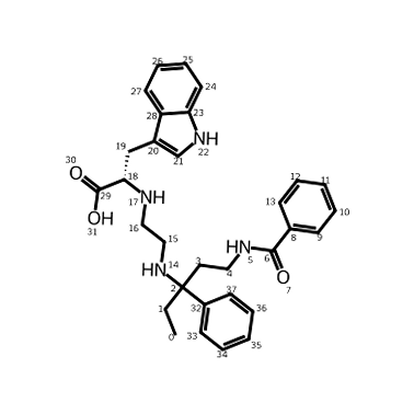 CCC(CCNC(=O)c1ccccc1)(NCCN[C@@H](Cc1c[nH]c2ccccc12)C(=O)O)c1ccccc1